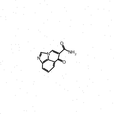 NC(=O)c1cn2cnc3cccc(c1=O)c32